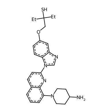 CCC(S)(CC)COc1ccc2c(c1)ncn2-c1ccc2cccc(N3CCC(N)CC3)c2n1